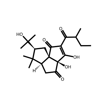 CCC(C)C(=O)C1=C(O)[C@]2(O)C(=O)C[C@H]3C(C)(C)[C@@H](C(C)(C)O)C[C@]32C1=O